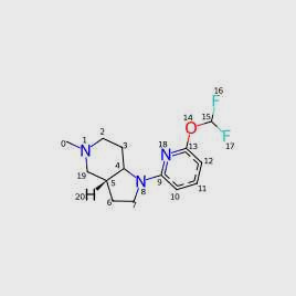 CN1CCC2[C@H](CCN2c2cccc(OC(F)F)n2)C1